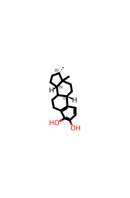 C[C@H]1CC[C@H]2C3CCc4c(ccc(O)c4O)[C@H]3CCC12C